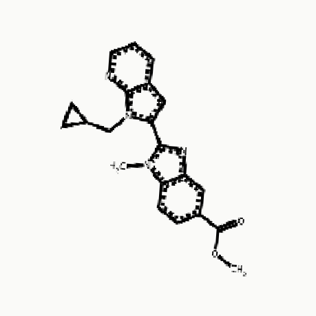 COC(=O)c1ccc2c(c1)nc(-c1cc3cccnc3n1CC1CC1)n2C